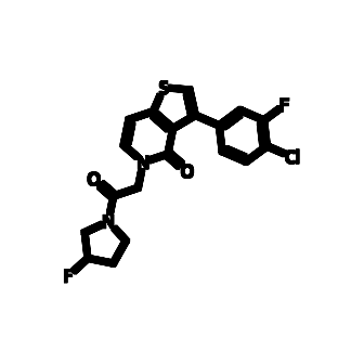 O=C(Cn1ccc2scc(-c3ccc(Cl)c(F)c3)c2c1=O)N1CCC(F)C1